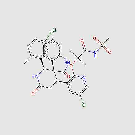 Cc1ccc(F)cc1[C@@H]1NC(=O)C[C@H](c2cc(Cl)cnc2OC(C)(C)C(=O)NS(C)(=O)=O)[C@@]12C(=O)Nc1cc(Cl)ccc12